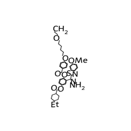 C=CCOCCCCCCOc1ccc(C(=O)Oc2ccc(OC(=O)C3CCC(CC)CC3)cc2C(=NN)c2nc3ccc(OC)cc3s2)cc1